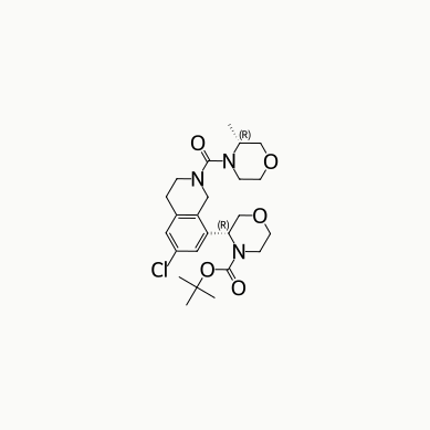 C[C@@H]1COCCN1C(=O)N1CCc2cc(Cl)cc([C@@H]3COCCN3C(=O)OC(C)(C)C)c2C1